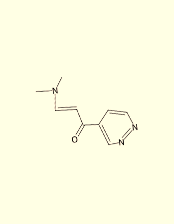 CN(C)/C=C/C(=O)c1ccnnc1